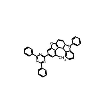 Cc1cc(-c2nc(-c3ccccc3)nc(-c3ccccc3)n2)cc2oc3c(c12)C1c2ccccc2N(c2ccccc2)C1C=C3